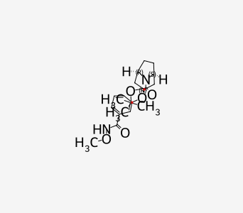 CONC(=O)c1cccc(O[C@H]2C[C@H]3CC[C@@H](C2)N3C(=O)OC(C)(C)C)c1